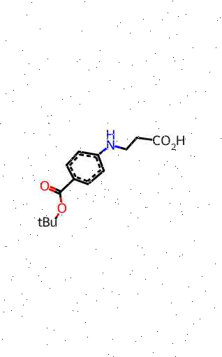 CC(C)(C)OC(=O)c1ccc(NCCC(=O)O)cc1